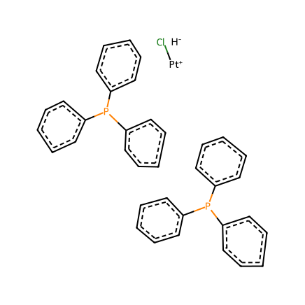 [Cl][Pt+].[H-].c1ccc(P(c2ccccc2)c2ccccc2)cc1.c1ccc(P(c2ccccc2)c2ccccc2)cc1